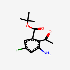 CC(=O)c1c(N)cc(F)cc1C(=O)OC(C)(C)C